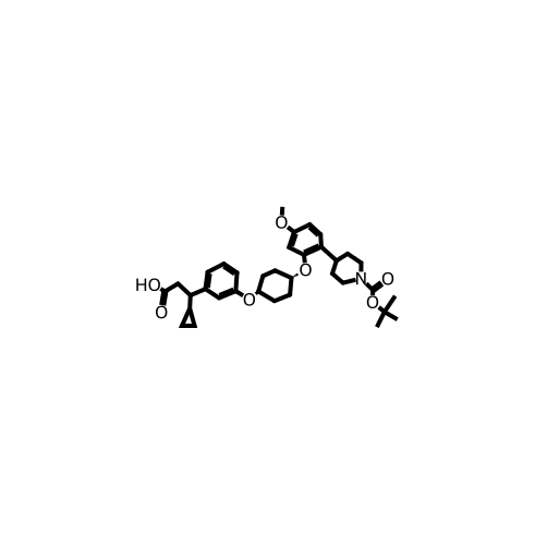 COc1ccc(C2CCN(C(=O)OC(C)(C)C)CC2)c(O[C@H]2CC[C@H](Oc3cccc(C(CC(=O)O)C4CC4)c3)CC2)c1